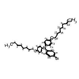 CCCCCCCCOc1ccc(N(c2ccc(Br)cc2)c2ccc(OCCCCCCCC)cc2)cc1